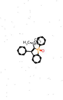 C[SiH](C)C1=C(c2ccccc2)c2ccccc2P1(=O)c1ccccc1